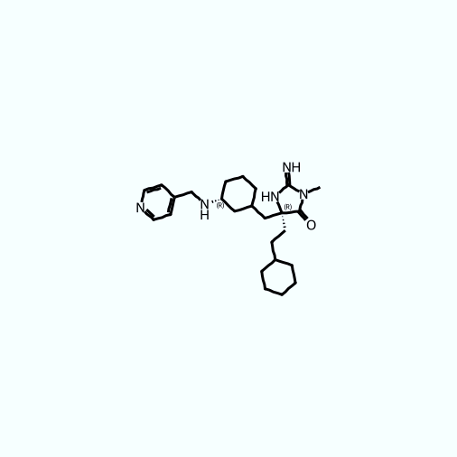 CN1C(=N)N[C@](CCC2CCCCC2)(CC2CCC[C@@H](NCc3ccncc3)C2)C1=O